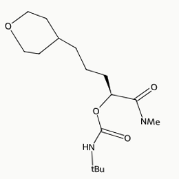 CNC(=O)[C@H](CCCC1CCOCC1)OC(=O)NC(C)(C)C